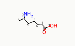 C[C@@H](N)CCCCC(=O)O